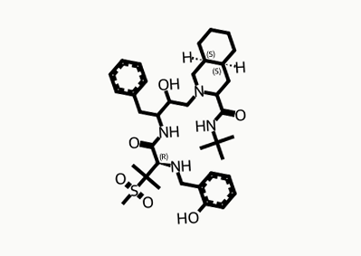 CC(C)(C)NC(=O)C1C[C@@H]2CCCC[C@@H]2CN1CC(O)C(Cc1ccccc1)NC(=O)[C@@H](NCc1ccccc1O)C(C)(C)S(C)(=O)=O